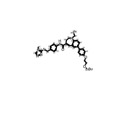 CCCCOCCOc1ccc(-c2ccc3c(c2)C=C(C(=O)Nc2ccc(CSc4nncn4C)cc2)CCN3CC(C)C)cc1